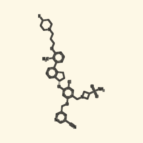 Cc1c(OCCCN2CCC(F)CC2)cccc1-c1cccc2c1CC[C@@H]2Oc1cc(OCc2cncc(C#N)c2)c(CN2CC(S(N)(=O)=O)C2)cc1Cl